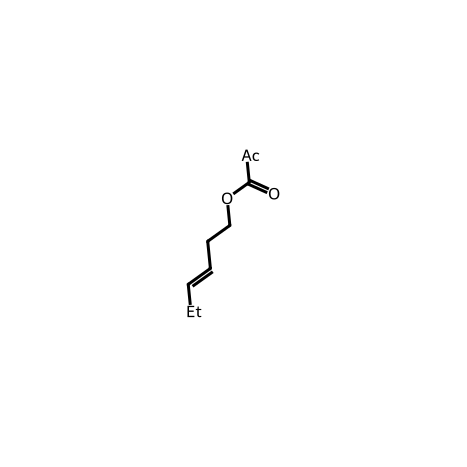 CCC=CCCOC(=O)C(C)=O